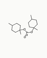 CC1CCC(C)(O[PH](=O)OC2(C)CCC(C)CC2)CC1